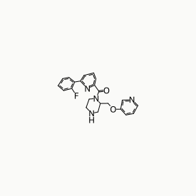 O=C(c1cccc(-c2ccccc2F)n1)N1CCNCC1COc1cccnc1